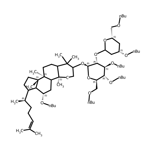 CCCCOC[C@@H]1C[C@H](OCCCC)CC(O[C@H]2[C@H](OC3CC[C@]4(C)C(CC[C@@]5(C)C4C[C@H](OCCCC)C4C([C@H](C)CCC=C(C)C)CC[C@@]45C)C3(C)C)O[C@H](COCCCC)[C@@H](OCCCC)[C@@H]2OCCCC)O1